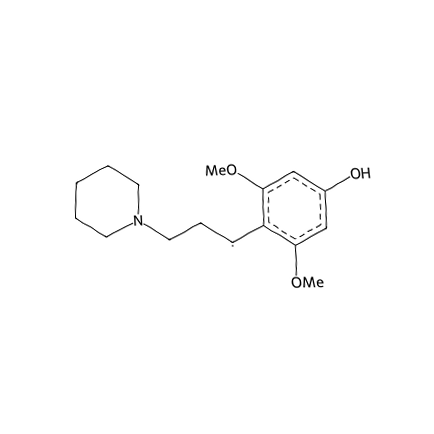 COc1cc(O)cc(OC)c1[CH]CCN1CCCCC1